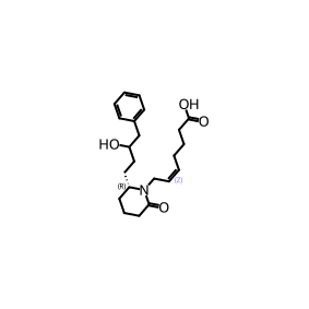 O=C(O)CCC/C=C\CN1C(=O)CCC[C@@H]1CCC(O)Cc1ccccc1